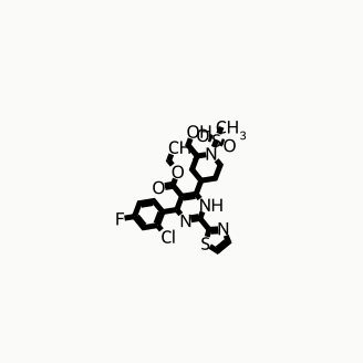 CCOC(=O)C1=C(C2CCN(S(C)(=O)=O)C(CO)C2)NC(c2nccs2)=NC1c1ccc(F)cc1Cl